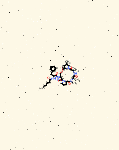 CCC/C=C/C=C/C(=O)NC(Cc1ccccc1)C(=O)NC1COC(=O)[C@@H]2C[C@@H](C)CN2C(=O)[C@H](C)NC(=O)[C@H](C)N(C)C(=O)[C@@H]2CCCN2C1=O